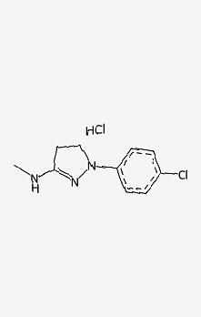 CNC1=NN(c2ccc(Cl)cc2)CC1.Cl